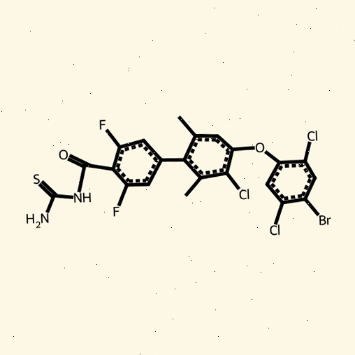 Cc1cc(Oc2cc(Cl)c(Br)cc2Cl)c(Cl)c(C)c1-c1cc(F)c(C(=O)NC(N)=S)c(F)c1